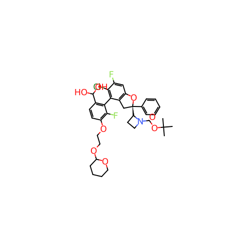 CC(C)(C)OC(=O)N1CCC1[C@@]1(c2ccccc2)Cc2c(cc(F)c(Cl)c2-c2c(C(O)O)ccc(OCCOC3CCCCO3)c2F)O1